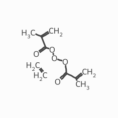 C=C.C=C(C)C(=O)OOOC(=O)C(=C)C